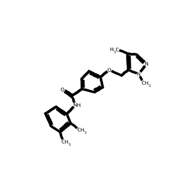 Cc1cccc(NC(=O)c2ccc(OCc3c(C)cnn3C)cc2)c1C